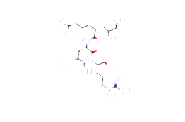 CCC(C)C[C@@H](CCCC(C)O)C(=O)N[C@H](CC(C)CC)C(=O)N[C@H](C=O)CCCN(C)C(=N)N